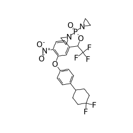 O=[N+]([O-])c1ccc(C(OP(=O)(N2CC2)N2CC2)C(F)(F)F)cc1Oc1ccc(C2CCC(F)(F)CC2)cc1